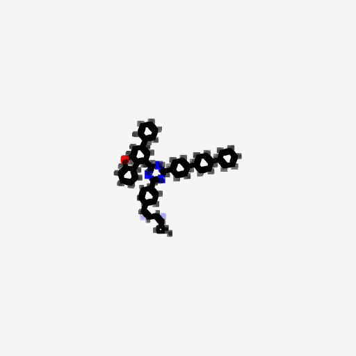 C/C=C\C=C/c1ccc(-c2nc(-c3ccc(-c4ccc(-c5ccccc5)cc4)cc3)nc(-c3cc(-c4ccccc4)cc4oc5ccccc5c34)n2)cc1